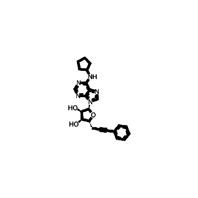 O[C@@H]1[C@H](O)[C@@H](CC#Cc2ccccc2)O[C@H]1n1cnc2c(NC3CCCC3)ncnc21